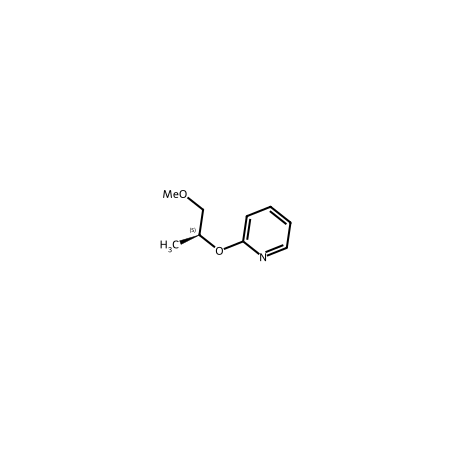 COC[C@H](C)Oc1ccccn1